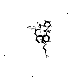 CCOCCOc1ccc(C[C@H](NC(=O)[C@@H]2CCCN2S(=O)(=O)c2ccccc2)C(=O)O)cc1